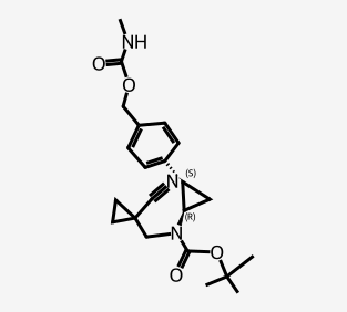 CNC(=O)OCc1ccc([C@@H]2C[C@H]2N(CC2(C#N)CC2)C(=O)OC(C)(C)C)cc1